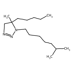 CCCCCC1(C)CN=NN1CCCCCC(C)C